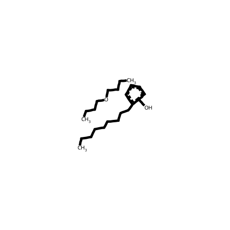 CCCCCCCCCc1ccccc1O.CCCCOCCCC